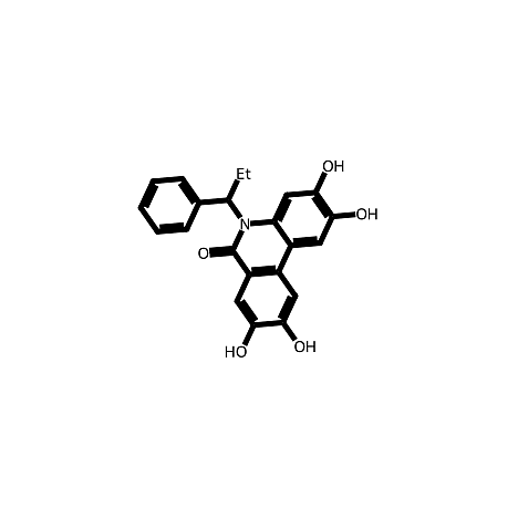 CCC(c1ccccc1)n1c(=O)c2cc(O)c(O)cc2c2cc(O)c(O)cc21